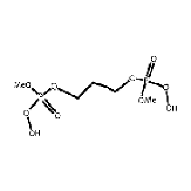 COP(=O)(OO)OCCCOP(=O)(OC)OO